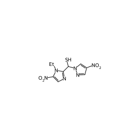 CCn1c([N+](=O)[O-])cnc1C(S)n1cc([N+](=O)[O-])cn1